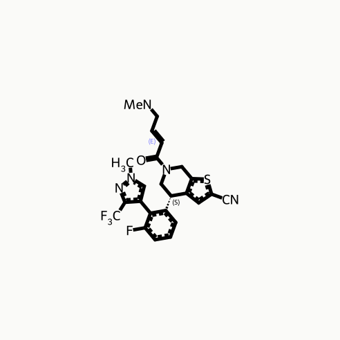 CNC/C=C/C(=O)N1Cc2sc(C#N)cc2[C@H](c2cccc(F)c2-c2cn(C)nc2C(F)(F)F)C1